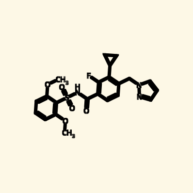 COc1cccc(OC)c1S(=O)(=O)NC(=O)c1ccc(Cn2cccn2)c(C2CC2)c1F